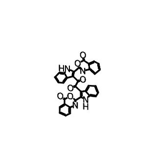 O=C(C(=O)c1c(-c2nc3ccccc3c(=O)o2)[nH]c2ccccc12)c1c(-c2nc3ccccc3c(=O)o2)[nH]c2ccccc12